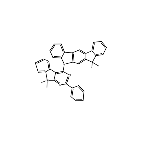 CC1(C)c2ccccc2-c2cc3c4ccccc4n(-c4nc(-c5ccccc5)nc5c4-c4ccccc4[Si]5(C)C)c3cc21